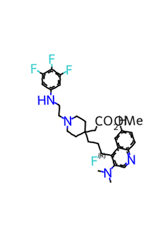 COc1ccc2ncc(N(C)C)c([C@H](F)CCC3(CC(=O)O)CCN(CCNc4cc(F)c(F)c(F)c4)CC3)c2c1